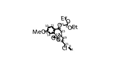 C=C.CCOC(C)OCC.COc1ccc2c(c1)S(=O)(=O)N(CCCCl)CC2=O